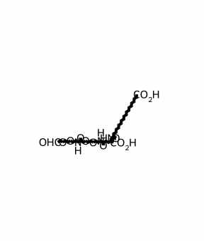 O=[C]COCCOCCNC(=O)COCCOCCNC(=O)CCC(NC(=O)CCCCCCCCCCCCCCCCCCC(=O)O)C(=O)O